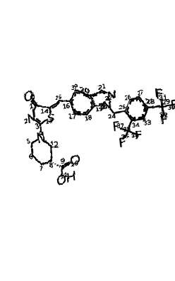 O=C1N=C(N2CCC[C@@H](C(=O)O)C2)S/C1=C\c1ccc2c(cnn2Cc2ccc(C(F)(F)F)cc2C(F)(F)F)c1